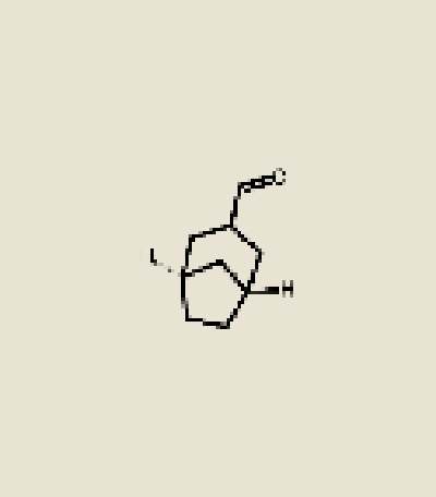 O=CC1C[C@@H]2CC[C@@H](C1)C2